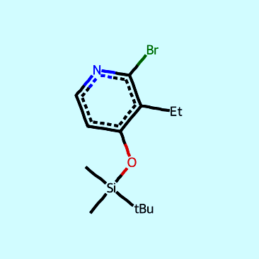 CCc1c(O[Si](C)(C)C(C)(C)C)ccnc1Br